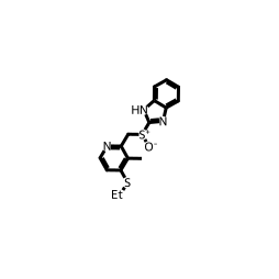 CCSc1ccnc(C[S+]([O-])c2nc3ccccc3[nH]2)c1C